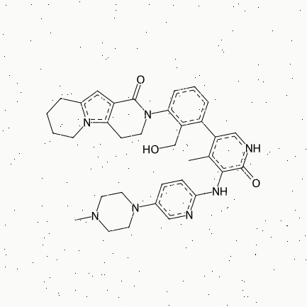 Cc1c(-c2cccc(N3CCc4c(cc5n4CCCC5)C3=O)c2CO)c[nH]c(=O)c1Nc1ccc(N2CCN(C)CC2)cn1